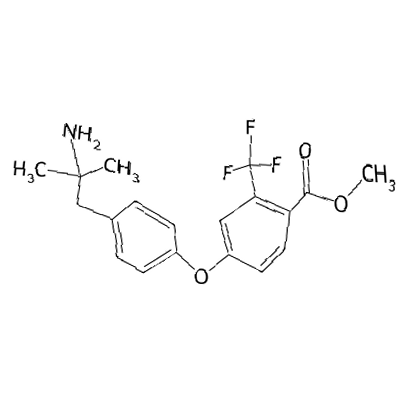 COC(=O)c1ccc(Oc2ccc(CC(C)(C)N)cc2)cc1C(F)(F)F